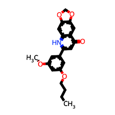 CCCCOc1cc(OC)cc(-c2cc(=O)c3cc4c(cc3[nH]2)OCO4)c1